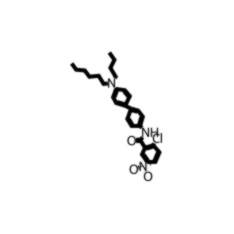 CCCCCCN(CCCC)c1ccc(-c2ccc(NC(=O)c3cc([N+](=O)[O-])ccc3Cl)cc2)cc1